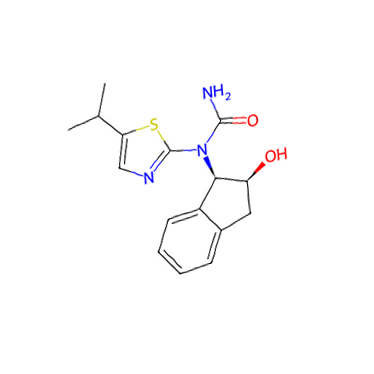 CC(C)c1cnc(N(C(N)=O)[C@@H]2c3ccccc3C[C@@H]2O)s1